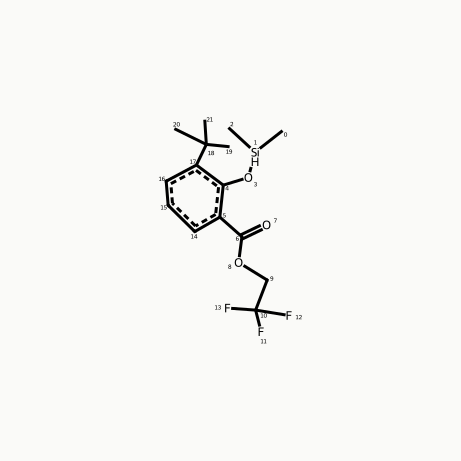 C[SiH](C)Oc1c(C(=O)OCC(F)(F)F)cccc1C(C)(C)C